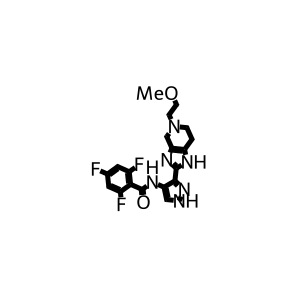 COCCN1CCc2[nH]c(-c3n[nH]cc3NC(=O)c3c(F)cc(F)cc3F)nc2C1